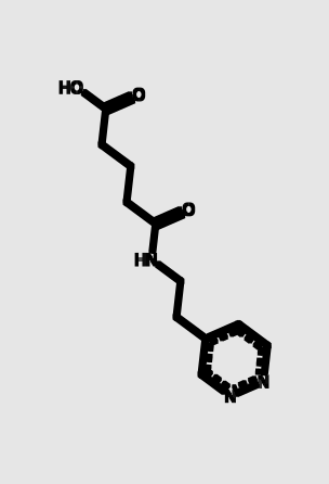 O=C(O)CCCC(=O)NCCc1ccnnc1